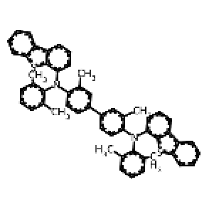 Cc1cc(-c2ccc(N(c3c(C)cccc3C)c3cccc4c3sc3ccccc34)c(C)c2)ccc1N(c1c(C)cccc1C)c1cccc2c1sc1ccccc12